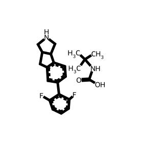 CC(C)(C)NC(=O)O.Fc1cccc(F)c1-c1ccc2c(c1)CC1CNCC21